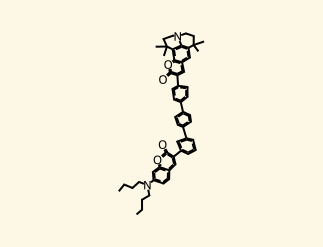 CCCCN(CCCC)c1ccc2cc(-c3cccc(-c4ccc(-c5ccc(-c6cc7cc8c9c(c7oc6=O)C(C)(C)CCN9CCC8(C)C)cc5)cc4)c3)c(=O)oc2c1